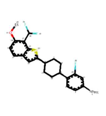 CCCCCc1ccc(C2CCC(c3cc4ccc(OCC)c(C(F)F)c4s3)CC2)c(F)c1